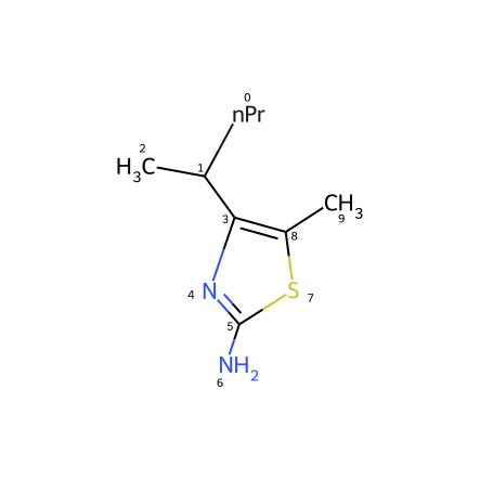 CCCC(C)c1nc(N)sc1C